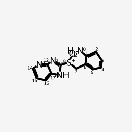 Nc1ccccc1C[S+]([O-])c1nc2ncccc2[nH]1